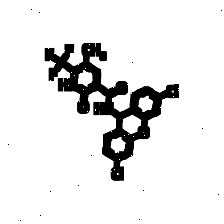 Cc1cc(C(=O)NC2c3ccc(Cl)cc3Oc3cc(Cl)ccc32)c(=O)[nH]c1C(F)(F)F